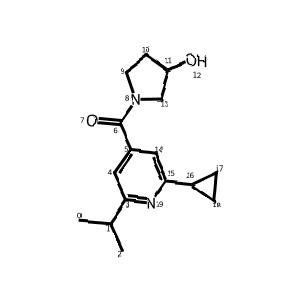 CC(C)c1cc(C(=O)N2CCC(O)C2)cc(C2CC2)n1